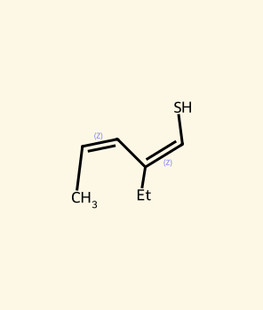 C/C=C\C(=C/S)CC